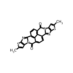 Cc1cc2c(nc3c4ccc5c(=O)n6c7cc(C)sc7nc6c6ccc(c(=O)n23)c4c56)s1